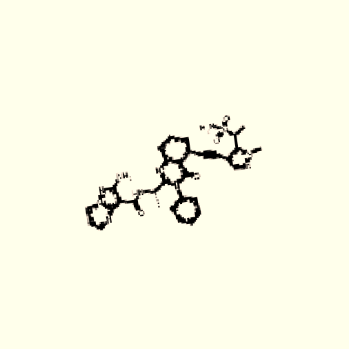 CC(c1c(C#Cc2cccc3nc([C@H](C)NC(=O)c4c(N)nn5cccnc45)n(-c4ccccc4)c(=O)c23)cnn1C)S(N)(=O)=O